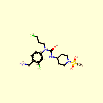 CS(=O)(=O)N1CCC(NC(=O)N(CCCCl)c2ccc(CN)c(Cl)c2)CC1